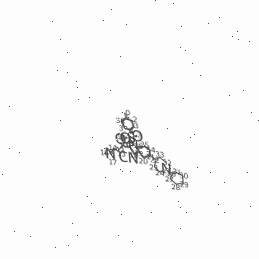 Cc1ccc(S(=O)(=O)n2c(C(=O)/C(C#N)=C/N(C)C)cc3cc(C4CCN(C5CCCCC5)CC4)ccc32)cc1